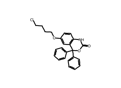 O=C1Nc2ccc(OCCCCCl)cc2C(c2ccccc2)(c2ccccc2)O1